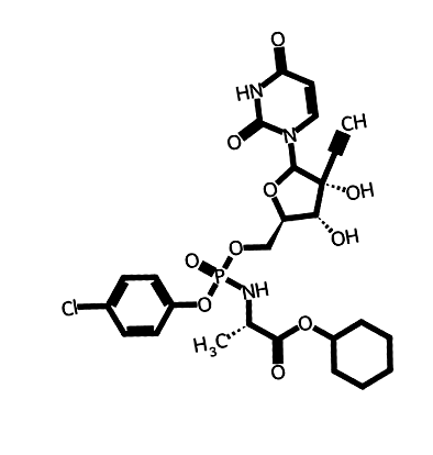 C#C[C@]1(O)C(n2ccc(=O)[nH]c2=O)O[C@H](COP(=O)(N[C@@H](C)C(=O)OC2CCCCC2)Oc2ccc(Cl)cc2)[C@H]1O